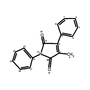 CC1=C(c2ccccc2)C(=O)N(c2ccccc2)C1=O